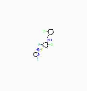 Fc1cccc(NSc2cc(Cl)c(NCc3ccccc3Cl)cc2F)n1